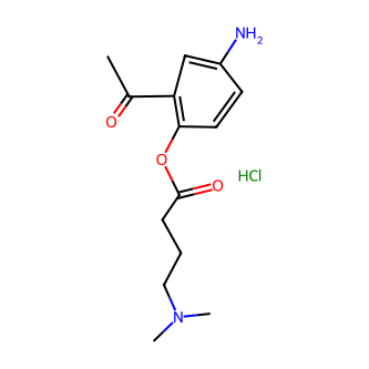 CC(=O)c1cc(N)ccc1OC(=O)CCCN(C)C.Cl